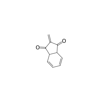 C=C1C(=O)C2C=CC=CC2C1=O